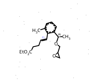 CCOC(=O)CC/C=C/c1c(C)cccc1[C@@H](C)OCC1CO1